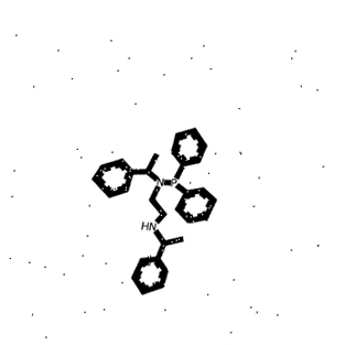 CC(NCCN(C(C)c1ccccc1)P(c1ccccc1)c1ccccc1)c1ccccc1